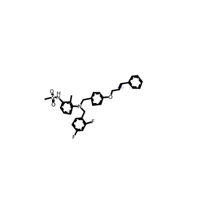 Cc1c(NS(C)(=O)=O)cccc1N(Cc1ccc(OC/C=C/c2ccccc2)cc1)Cc1ccc(F)cc1F